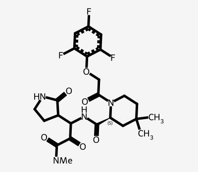 CNC(=O)C(=O)C(NC(=O)[C@@H]1CC(C)(C)CCN1C(=O)COc1c(F)cc(F)cc1F)C1CCNC1=O